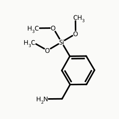 CO[Si](OC)(OC)c1cccc(CN)c1